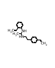 C=Cc1ccc(CCNC(C)Nc2ccccc2C=C)cc1